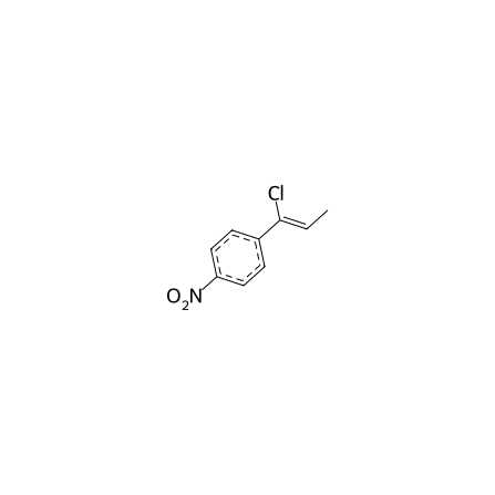 CC=C(Cl)c1ccc([N+](=O)[O-])cc1